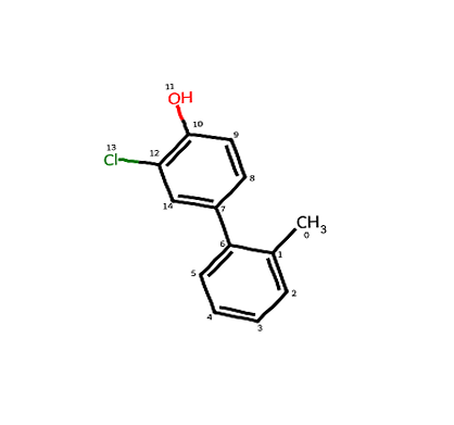 Cc1ccccc1-c1ccc(O)c(Cl)c1